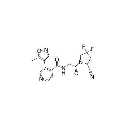 Cc1noc(C)c1-c1cnccc1C(=O)NCC(=O)N1CC(F)(F)CC1C#N